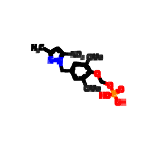 COc1cc(Cn2nc(C)cc2[N+](=O)[O-])cc(OC)c1OCOP(=O)(O)O